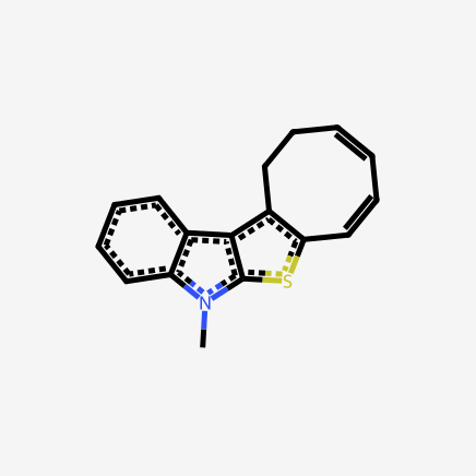 Cn1c2ccccc2c2c3c(sc21)/C=C\C=C/CC3